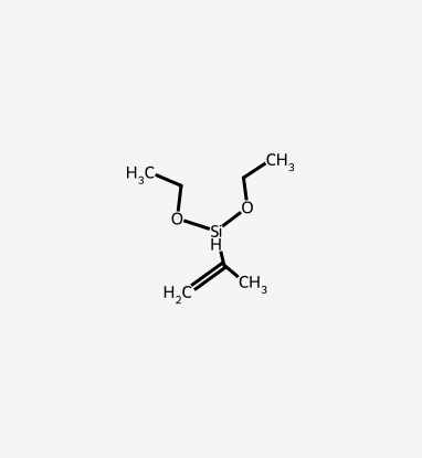 C=C(C)[SiH](OCC)OCC